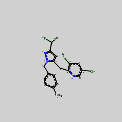 COc1ccc(Cn2nc(C(F)F)cc2Cc2ncc(Cl)cc2F)cc1